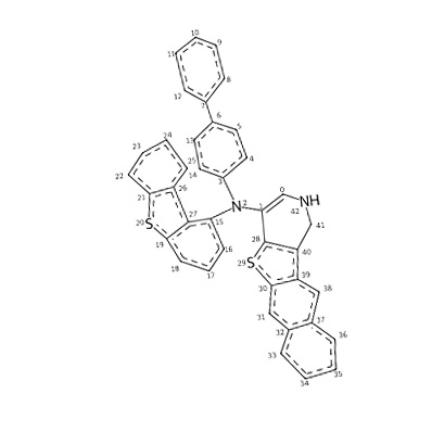 C1=C(N(c2ccc(-c3ccccc3)cc2)c2cccc3sc4ccccc4c23)c2sc3cc4ccccc4cc3c2CN1